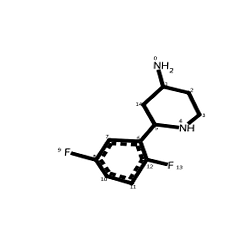 NC1CCNC(c2cc(F)ccc2F)C1